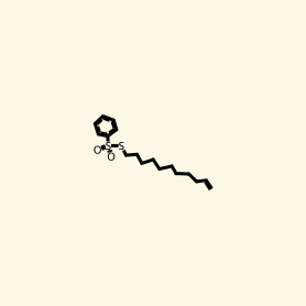 C=CCCCCCCCCCSS(=O)(=O)c1ccccc1